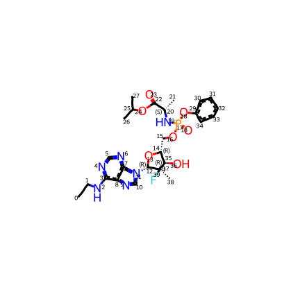 CCNc1ncnc2c1ncn2[C@@H]1O[C@H](COP(=O)(N[C@@H](C)C(=O)OC(C)C)Oc2ccccc2)[C@@H](O)[C@@]1(C)F